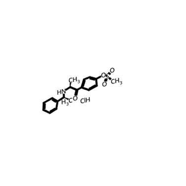 C[C@H](N[C@@H](C)c1ccccc1)C(=O)c1ccc(OS(C)(=O)=O)cc1.Cl